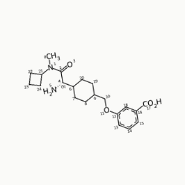 CN(C(=O)[C@@H](N)C1CCC(COc2cccc(C(=O)O)c2)CC1)C1CCC1